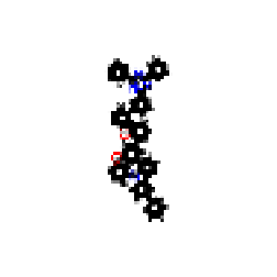 c1ccc(-c2ccc3c(c2)c2ccccc2n3-c2cccc3oc4cc(-c5cccc6c5oc5cccc(-c7cccc(-c8nc(-c9ccccc9)nc(-c9ccccc9)n8)c7)c56)ccc4c23)cc1